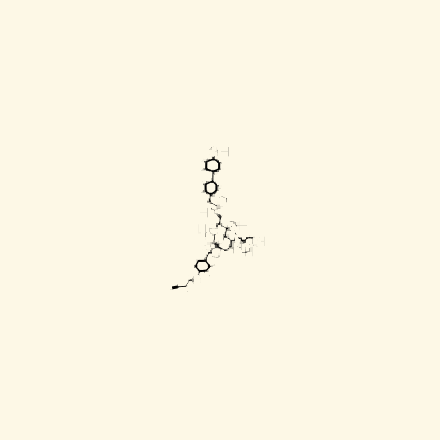 C#CCCOc1ccc(CO[C@]2(C(=O)O)C[C@H](O)[C@@H](NC(=O)CO)[C@H]([C@H](O)[C@H](O)CNC(=O)Cc3ccc(-c4ccc(O)cc4)cc3)O2)cc1